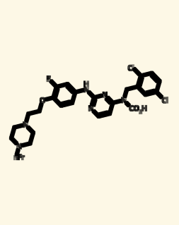 CCCN1CCN(CCOc2ccc(Nc3nccc(N(Cc4cc(Cl)ccc4Cl)C(=O)O)n3)cc2F)CC1